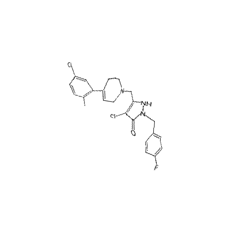 Cc1ccc(Cl)cc1C1=CCN(Cc2[nH]n(Cc3ccc(F)cc3)c(=O)c2Cl)CC1